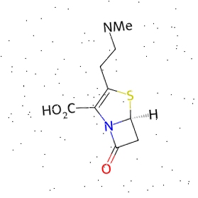 CNCCC1=C(C(=O)O)N2C(=O)C[C@@H]2S1